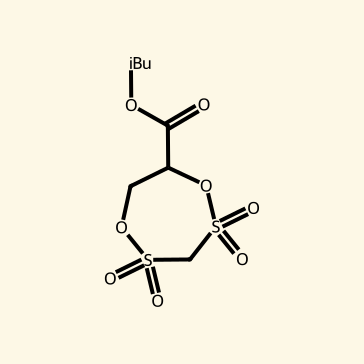 CCC(C)OC(=O)C1COS(=O)(=O)CS(=O)(=O)O1